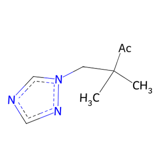 CC(=O)C(C)(C)Cn1cncn1